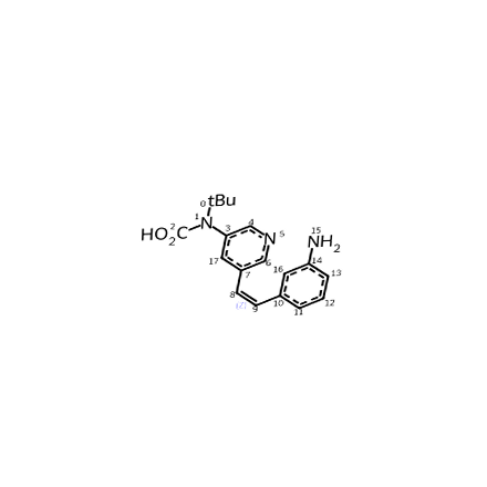 CC(C)(C)N(C(=O)O)c1cncc(/C=C\c2cccc(N)c2)c1